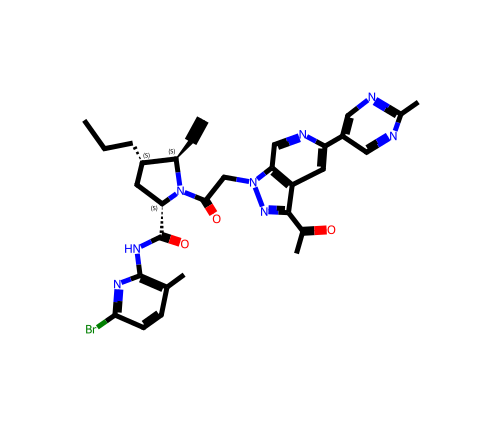 C#C[C@@H]1[C@@H](CCC)C[C@@H](C(=O)Nc2nc(Br)ccc2C)N1C(=O)Cn1nc(C(C)=O)c2cc(-c3cnc(C)nc3)ncc21